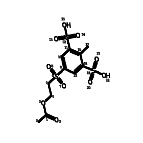 CC(=O)OCCS(=O)(=O)c1cc(S(=O)(=O)O)c(C)c(S(=O)(=O)O)c1